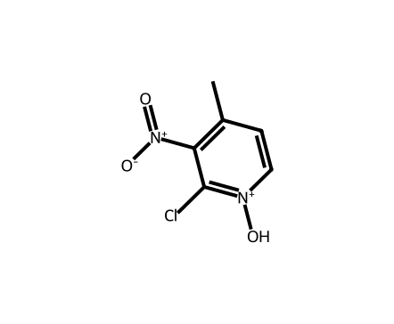 Cc1cc[n+](O)c(Cl)c1[N+](=O)[O-]